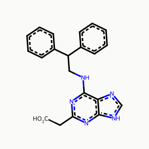 O=C(O)Cc1nc(NCC(c2ccccc2)c2ccccc2)c2nc[nH]c2n1